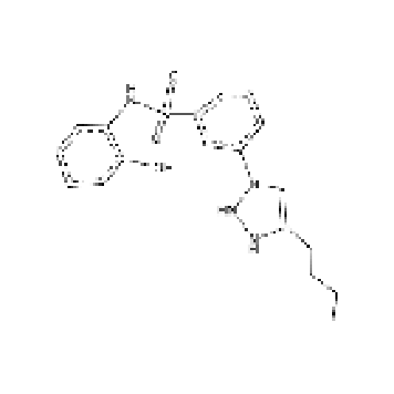 CCCCC1=CN(c2cccc(S(=O)(=O)Nc3ccccc3O)c2)NN1